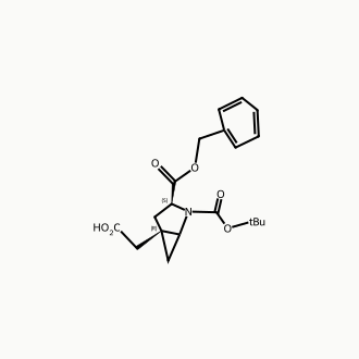 CC(C)(C)OC(=O)N1C2C[C@]2(CC(=O)O)C[C@H]1C(=O)OCc1ccccc1